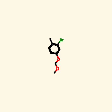 COCOc1ccc(C)c(Br)c1